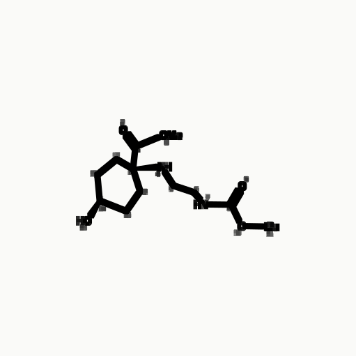 COC(=O)[C@]1(NCCNC(=O)OC(C)(C)C)CC[C@@H](O)CC1